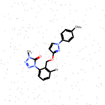 CCc1cccc(-n2nnn(C)c2=O)c1COc1ccn(-c2ccc(OC)cc2)n1